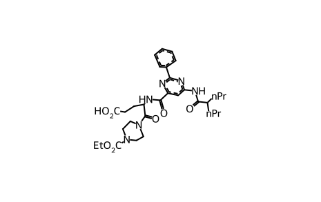 CCCC(CCC)C(=O)Nc1cc(C(=O)NC(CCC(=O)O)C(=O)N2CCN(C(=O)OCC)CC2)nc(-c2ccccc2)n1